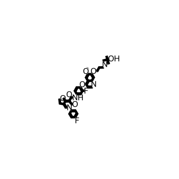 COc1cc2c(Oc3ccc(NC(=O)c4c5c(cn(-c6ccc(F)cc6)c4=O)CCO5)cc3F)ccnc2cc1OCCCN1CC(C)(O)C1